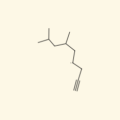 C#CC[CH]CC(C)CC(C)C